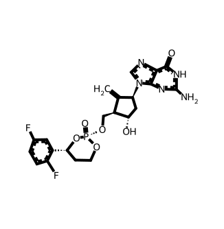 C=C1[C@H](CO[P@]2(=O)OCC[C@H](c3cc(F)ccc3F)O2)[C@@H](O)C[C@@H]1n1cnc2c(=O)[nH]c(N)nc21